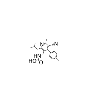 Cc1ccc(-c2c(C#N)c(C)nc(CC(C)C)c2CNC(=O)O)cc1